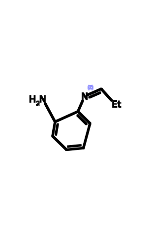 CC/C=N\c1ccccc1N